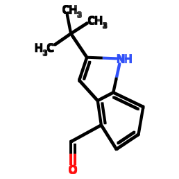 CC(C)(C)c1cc2c(C=O)cccc2[nH]1